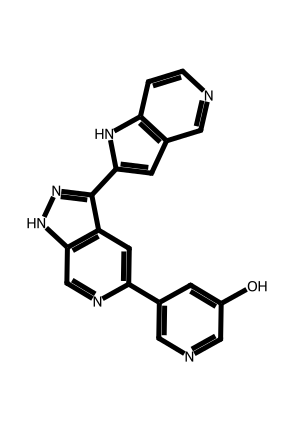 Oc1cncc(-c2cc3c(-c4cc5cnccc5[nH]4)n[nH]c3cn2)c1